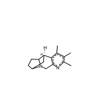 Cc1nc2c(c(C)c1C)[C@H]1CC3CCC1N3C2